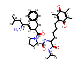 CC1=C(C)C(=O)C(CCCCC(NC(=O)[C@@H]2CCCN2C(=O)C(/C=C/C(N)CC(C)C)Cc2ccccc2)C(=O)NC(C)C)=C(C)C1=O